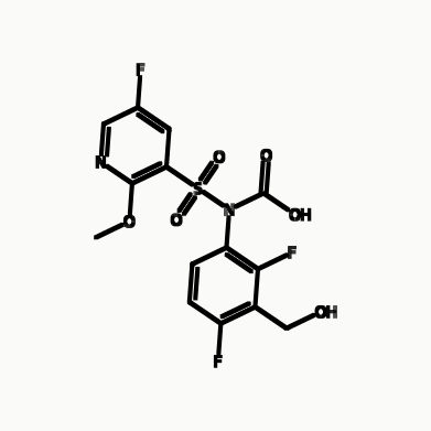 COc1ncc(F)cc1S(=O)(=O)N(C(=O)O)c1ccc(F)c(CO)c1F